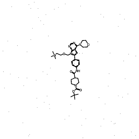 CC(C)(C)OC(=O)N1CCC(C(=O)Nc2ccc(-c3cc4c(N5CCOCC5)ncnc4n3COCC[Si](C)(C)C)cc2)CC1